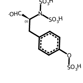 O=[C][C@H](Cc1ccc(OS(=O)(=O)O)cc1)N(S(=O)(=O)O)S(=O)(=O)O